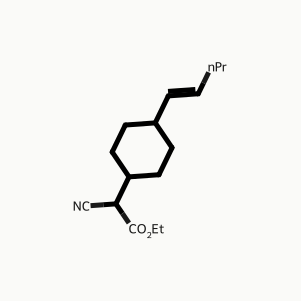 CCCC=CC1CCC(C(C#N)C(=O)OCC)CC1